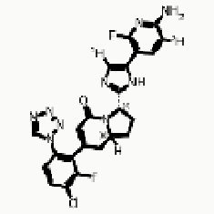 [2H]c1cc(-c2[nH]c([C@@H]3CC[C@@H]4CC(c5c(-n6cnnn6)ccc(Cl)c5F)=CC(=O)N43)nc2[2H])c(F)nc1N